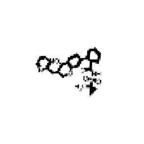 CC1(S(=O)(=O)NC(=O)c2ccccc2-c2ccc3c(c2)OCC(Cc2ccccn2)[C@@H]3O)CC1